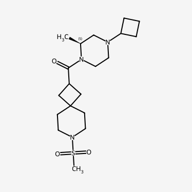 C[C@H]1CN(C2CCC2)CCN1C(=O)C1CC2(CCN(S(C)(=O)=O)CC2)C1